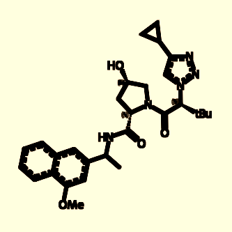 COc1cc(C(C)NC(=O)[C@@H]2C[C@@H](O)CN2C(=O)[C@@H](n2cc(C3CC3)nn2)C(C)(C)C)cc2ccccc12